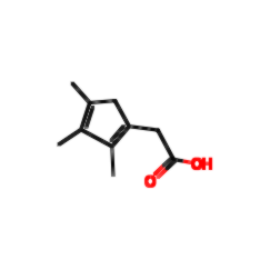 CC1=C(C)C(C)=C(CC(=O)O)C1